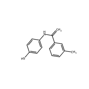 C=C(Nc1ccc(S)cc1)c1cccc(C)c1